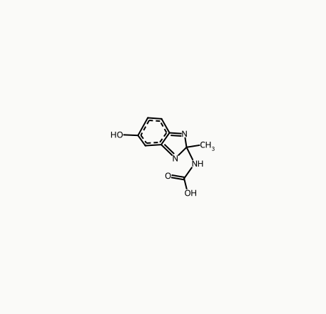 CC1(NC(=O)O)N=c2ccc(O)cc2=N1